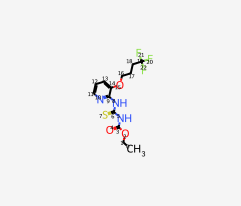 CCOC(=O)NC(=S)Nc1ncccc1OCCCC(F)(F)F